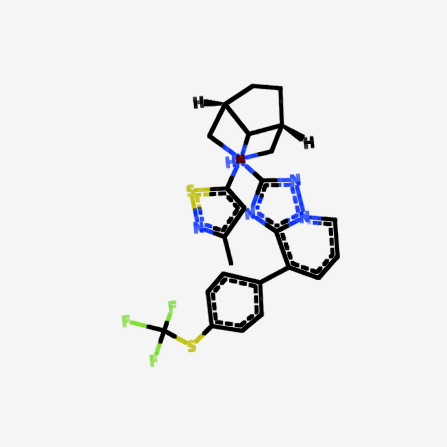 Cc1cc(N2C[C@H]3CC[C@@H](C2)C3Nc2nc3c(-c4ccc(SC(F)(F)F)cc4)cccn3n2)sn1